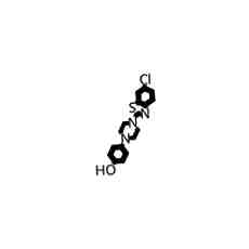 Oc1ccc(N2CCN(c3nc4ccc(Cl)cc4s3)CC2)cc1